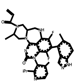 C=CC(=O)N1CC2CNc3c(F)c(-c4c(C)ccc5[nH]ncc45)c(F)c4c3c(nc(=O)n4-c3c(C)ccnc3C(C)C)N2CC1C